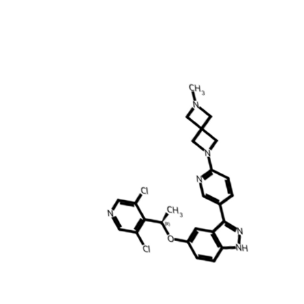 C[C@@H](Oc1ccc2[nH]nc(-c3ccc(N4CC5(CN(C)C5)C4)nc3)c2c1)c1c(Cl)cncc1Cl